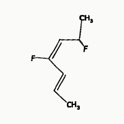 C/C=C/C(F)=C\C(C)F